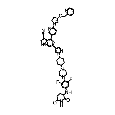 N#Cc1cnn2cc(-c3cnn([C@H]4CC[C@H](N5CCN(c6c(F)cc(NC7CCC(=O)NC7=O)cc6F)CC5)CC4)c3)nc(-c3ccc(N4CC[C@H](OCc5ccccn5)C4)nc3)c12